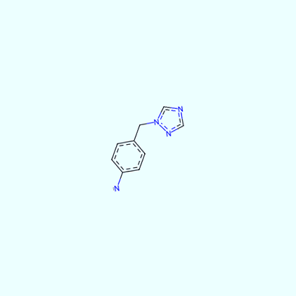 [N]c1ccc(Cn2cncn2)cc1